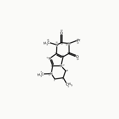 CC1CN(C)c2nc3c(c(=O)n(C(C)C)c(=O)n3C)n2C1